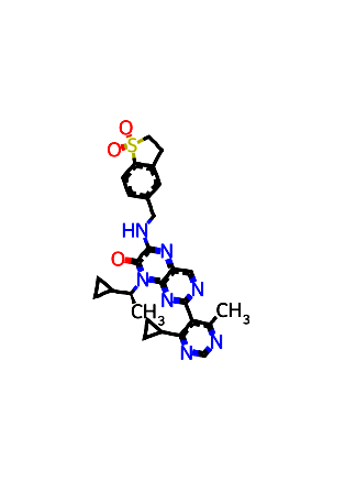 Cc1ncnc(C2CC2)c1-c1ncc2nc(NCc3ccc4c(c3)CCS4(=O)=O)c(=O)n([C@@H](C)C3CC3)c2n1